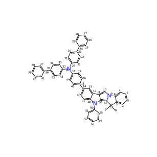 CC1(C)c2ccccc2-n2cc3c4cc(-c5ccc(N(c6ccc(-c7ccccc7)cc6)c6ccc(-c7ccccc7)cc6)cc5)ccc4n(-c4ccccc4)c3c21